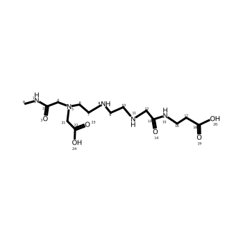 CNC(=O)CN(CCNCCNCC(=O)NCCC(=O)O)CC(=O)O